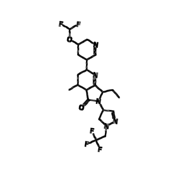 CCC1C2=NC(C3C=NCC(OC(F)F)C3)CC(C)C2C(=O)N1C1C=NN(CC(F)(F)F)C1